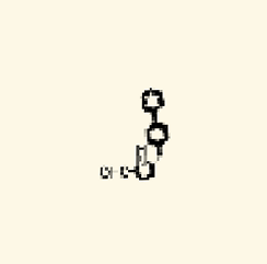 O=CC1CC[C@@H](Cc2ccc(-c3ccccc3)cc2)N1